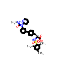 CNC(=O)N(c1cccc(-c2ccc(C[C@@H](NS(=O)(=O)c3c(C)cc(C)cc3C)C(=O)O)cc2)c1)c1ccccn1